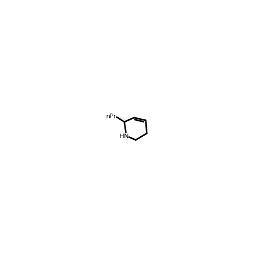 CCCC1[C]=CCCN1